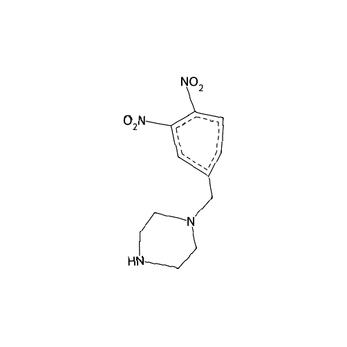 O=[N+]([O-])c1ccc(CN2CCNCC2)cc1[N+](=O)[O-]